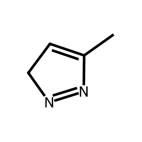 CC1=CCN=N1